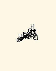 O=C1NC2(CC2)Cc2ccc(Cl)c(F)c2-c2cc(=O)n([C@@H](CC3CC3)c3ncc(-c4cc[n+]([O-])cc4)[nH]3)cc21